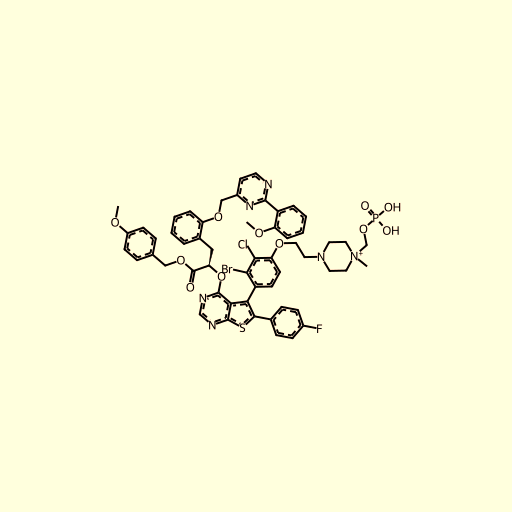 COc1ccc(COC(=O)[C@@H](Cc2ccccc2OCc2ccnc(-c3ccccc3OC)n2)Oc2ncnc3sc(-c4ccc(F)cc4)c(-c4ccc(OCCN5CC[N+](C)(COP(=O)(O)O)CC5)c(Cl)c4Br)c23)cc1